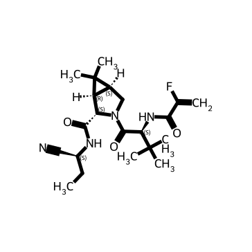 C=C(F)C(=O)N[C@H](C(=O)N1C[C@H]2[C@@H]([C@H]1C(=O)N[C@H](C#N)CC)C2(C)C)C(C)(C)C